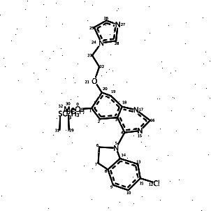 COc1cc2c(N3CCc4ccc(Cl)cc43)ncnc2cc1OCCn1ccnc1.CS(=O)(=O)O.CS(=O)(=O)O